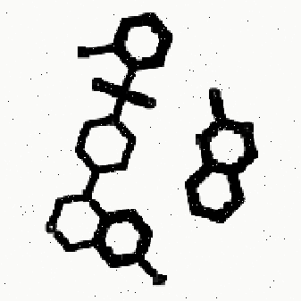 O=S(=O)(c1ccccc1Br)N1CCC(N2COCc3cc(Br)ccc32)CC1.O=c1nc2ccccc2co1